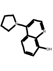 Oc1cccc2c(N3CCCC3)ccnc12